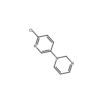 Clc1ccc(N2C=CC=NC2)cn1